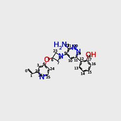 C=Cc1cc(OC2CN(c3cc(-c4ccccc4O)nnc3N)C2)ccn1